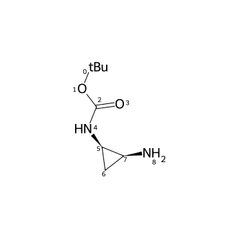 CC(C)(C)OC(=O)N[C@@H]1C[C@@H]1N